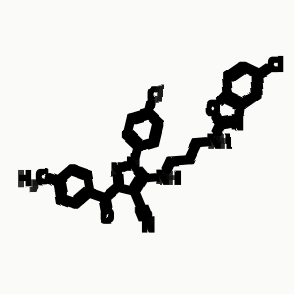 Cc1ccc(C(=O)c2nn(-c3ccc(Cl)cc3)c(NCCCNc3nc4cc(Cl)ccc4o3)c2C#N)cc1